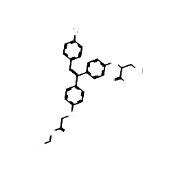 CCOC(=O)COc1ccc(/C(=C/c2ccc(N)cc2)c2ccc(OC(CC)C(=O)O)cc2)cc1